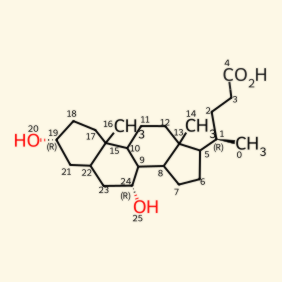 C[C@H](CCC(=O)O)C1CCC2C3C(CCC21C)C1(C)CC[C@@H](O)CC1C[C@H]3O